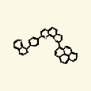 c1cnc2c(-c3ccc(-c4ccc5ccc6ccc(-c7ccc8ccc9cccc%10ccc7c8c9%10)nc6c5n4)cc3)cccc2c1